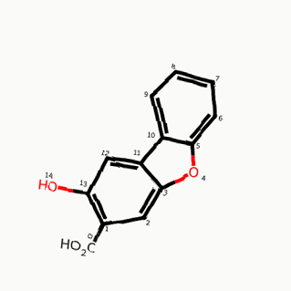 O=C(O)c1cc2oc3ccccc3c2cc1O